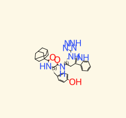 O=C(N[C@H](CNc1nn[nH]n1)Cc1c[nH]c2ccccc12)[C@H](Cc1ccc(O)cc1)NC(=O)C12CC3CC(CC(C3)C1)C2